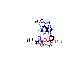 CNc1nc(F)nc2c1ncn2[C@H]1C[C@H](O)[C@@](C)(COC(=O)NC(C)C)O1